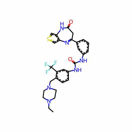 CCN1CCN(Cc2ccc(NC(=O)Nc3cccc(C4=Nc5cscc5NC(=O)C4)c3)cc2C(F)(F)F)CC1